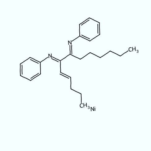 CCC/C=C/C(=N\c1ccccc1)C(/CCCCCC)=N/c1ccccc1.[Ni]